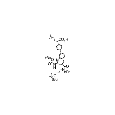 CCCN(CCCO[Si](C)(C)C(C)(C)C)C(=O)C1=Cc2ccc(-c3ccc(C(CCN(C)C)C(=O)O)cc3)cc2N=C(NC(=O)OC(C)(C)C)C1